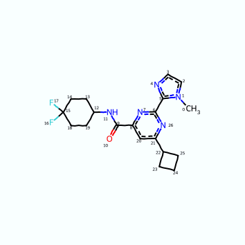 Cn1ccnc1-c1nc(C(=O)NC2CCC(F)(F)CC2)cc(C2CCC2)n1